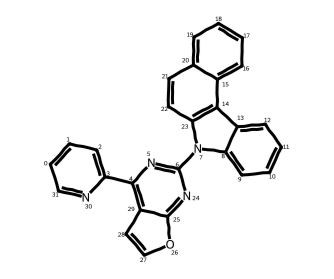 c1ccc(-c2nc(-n3c4ccccc4c4c5ccccc5ccc43)nc3occc23)nc1